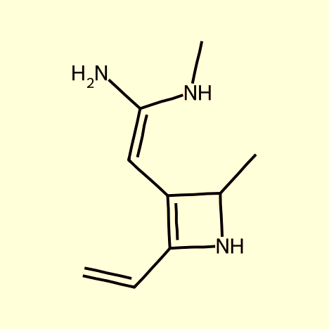 C=CC1=C(/C=C(/N)NC)C(C)N1